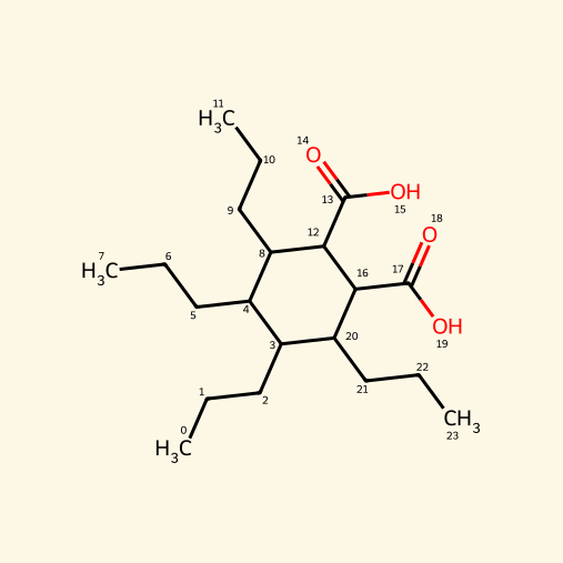 CCCC1C(CCC)C(CCC)C(C(=O)O)C(C(=O)O)C1CCC